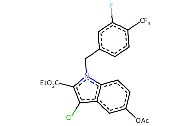 CCOC(=O)c1c(Cl)c2cc(OC(C)=O)ccc2n1Cc1ccc(C(F)(F)F)c(F)c1